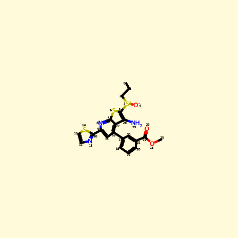 CCC[S+]([O-])c1sc2nc(-c3nccs3)cc(-c3cccc(C(=O)OC)c3)c2c1N